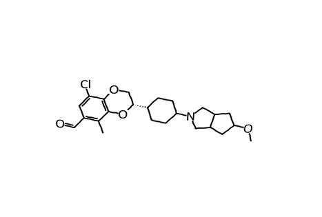 COC1CC2CN(C3CCC([C@H]4COc5c(Cl)cc(C=O)c(C)c5O4)CC3)CC2C1